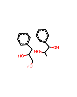 CC(O)C(O)c1ccccc1.OCC(O)Cc1ccccc1